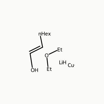 CCCCCC/C=C/O.CCOCC.[Cu].[LiH]